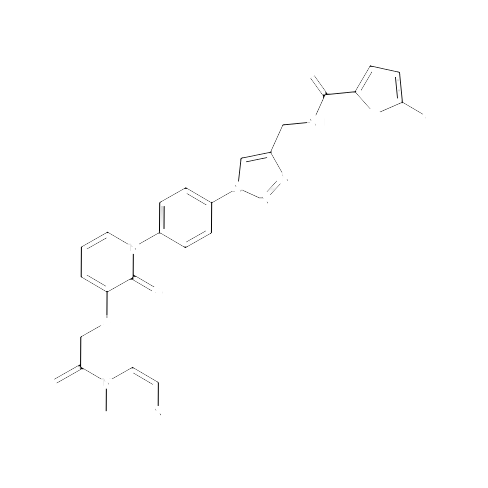 C=C(COc1cccn(-c2ccc(-n3cc(CNC(=O)c4ccc(Cl)s4)nn3)cc2)c1=O)N(C)/C=C\N